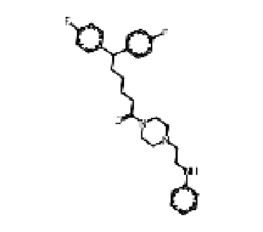 O=C(CCCCC(c1ccc(F)cc1)c1ccc(F)cc1)N1CCN(CCNc2ccccc2)CC1